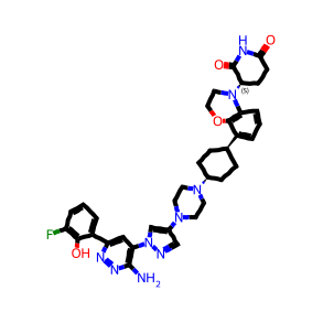 Nc1nnc(-c2cccc(F)c2O)cc1-n1cc(N2CCN([C@H]3CC[C@H](c4cccc5c4OCCN5[C@H]4CCC(=O)NC4=O)CC3)CC2)cn1